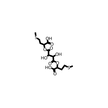 CSCCC(OC(=O)C(O)C(O)C(=O)OC(CCSC)C(=O)O)C(=O)O